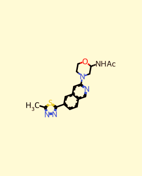 CC(=O)NC1CN(c2cc3cc(-c4nnc(C)s4)ccc3cn2)CCO1